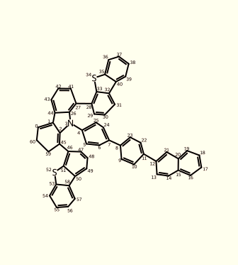 C1=c2c(n(-c3ccc(-c4ccc(-c5ccc6ccccc6c5)cc4)cc3)c3c(-c4cccc5c4sc4ccccc45)cccc23)=C(c2cccc3c2sc2ccccc23)CC1